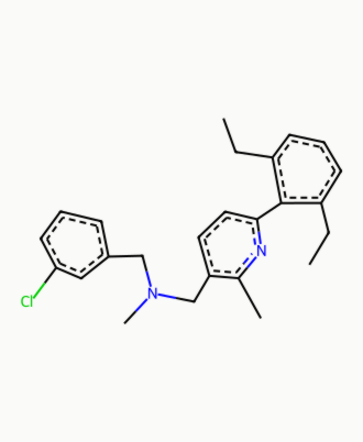 CCc1cccc(CC)c1-c1ccc(CN(C)Cc2cccc(Cl)c2)c(C)n1